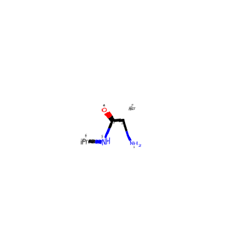 CC[C@H](C)C(N)C(=O)NC(C)C